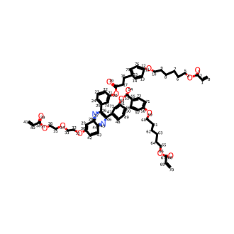 C=CC(=O)OCCCCCCOc1ccc(CCC(=O)Oc2cccc(-c3nc4cc(OCCOCCOC(=O)C=C)ccc4nc3-c3cccc(OC(=O)c4ccc(OCCCCCCOC(=O)C=C)cc4)c3)c2)cc1